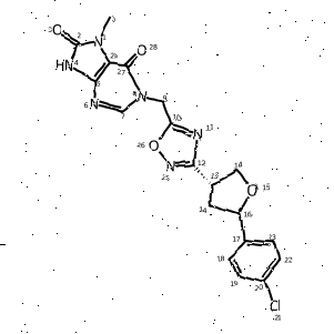 Cn1c(=O)[nH]c2ncn(Cc3nc([C@@H]4COC(c5ccc(Cl)cc5)C4)no3)c(=O)c21